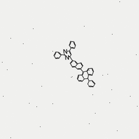 C1=CCC(C2c3ccccc3C(c3ccc4cc(-c5cc(-c6ccccc6)nc(-c6ccccc6)n5)ccc4c3)=C3C=CC=CC32)C=C1